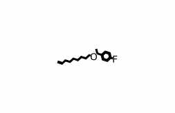 C=CCCCCCCCOC(C)c1ccc(F)cc1